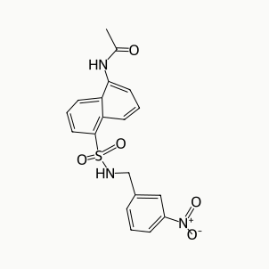 CC(=O)Nc1cccc2c(S(=O)(=O)NCc3cccc([N+](=O)[O-])c3)cccc12